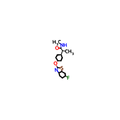 CNC(=O)C(C)c1ccc(Oc2nc3ccc(F)cc3s2)cc1